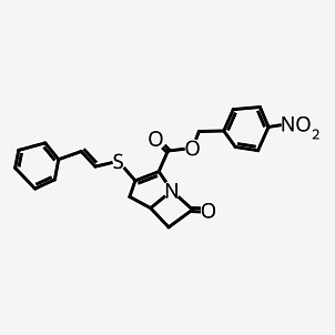 O=C(OCc1ccc([N+](=O)[O-])cc1)C1=C(S/C=C/c2ccccc2)CC2CC(=O)N12